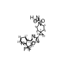 NS(=O)(=O)N1CCC2(CC1)C[C@H]2c1noc(-c2cccnc2C(F)(F)F)n1